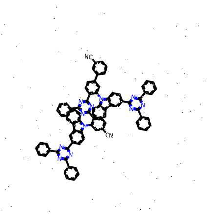 N#Cc1cccc(-c2ccc(-c3nc(-c4ccccc4)nc(-c4ccc(C#N)cc4-n4c5ccccc5c5cc(-c6nc(-c7ccccc7)nc(-c7ccccc7)n6)ccc54)n3)c(-n3c4ccccc4c4cc(-c5nc(-c6ccccc6)nc(-c6ccccc6)n5)ccc43)c2)c1